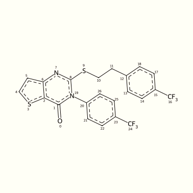 O=c1c2sccc2nc(SCCc2ccc(C(F)(F)F)cc2)n1-c1ccc(C(F)(F)F)cc1